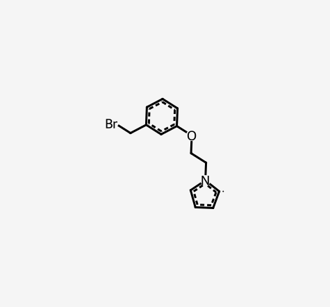 BrCc1cccc(OCCn2[c]ccc2)c1